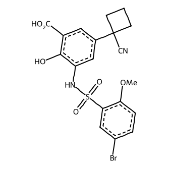 COc1ccc(Br)cc1S(=O)(=O)Nc1cc(C2(C#N)CCC2)cc(C(=O)O)c1O